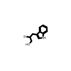 CCC(CO)Cc1c[nH]c2ccccc12